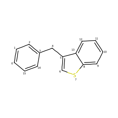 c1ccc(Cc2csc3ccccc23)cc1